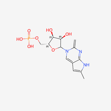 C=C1N=c2[nH]c(C)cc2=CN1C1O[C@H](COP(=O)(O)O)[C@@H](O)[C@H]1O